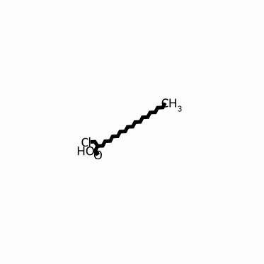 CCCCCCCCCCCCCCCCCCC(CCl)C(=O)O